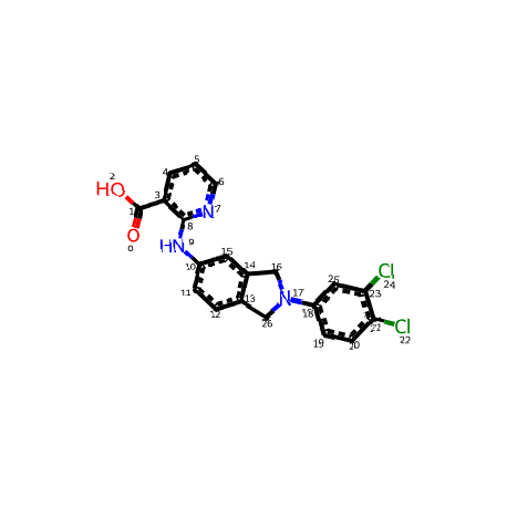 O=C(O)c1cccnc1Nc1ccc2c(c1)CN(c1ccc(Cl)c(Cl)c1)C2